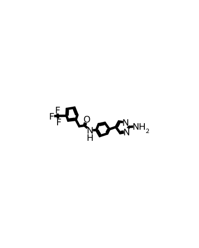 Nc1ncc(-c2ccc(NC(=O)Cc3cccc(C(F)(F)F)c3)cc2)cn1